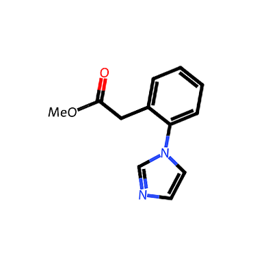 COC(=O)Cc1ccccc1-n1ccnc1